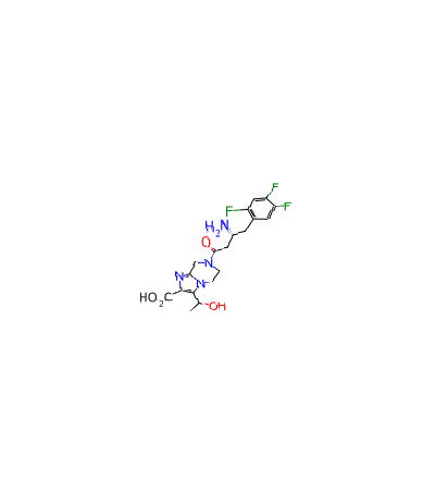 CC(O)c1c(C(=O)O)nc2n1CCN(C(=O)C[C@H](N)Cc1cc(F)c(F)cc1F)C2